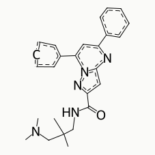 CN(C)CC(C)(C)CNC(=O)c1cc2nc(-c3ccccc3)cc(-c3ccccc3)n2n1